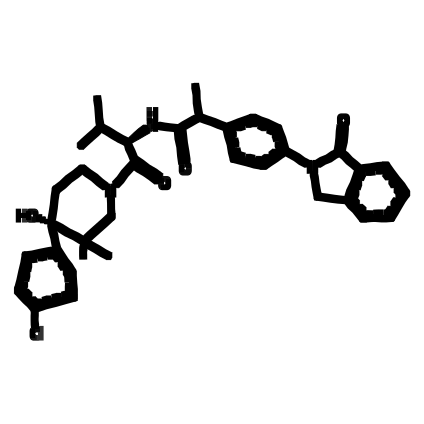 CC(C(=O)N[C@@H](C(=O)N1CC[C@](O)(c2ccc(Cl)cc2)C(C)(C)C1)C(C)C)c1ccc(N2Cc3ccccc3C2=O)cc1